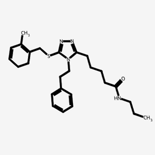 CCCNC(=O)CCCCc1nnc(SCC2=C(C)C=CCC2)n1CCc1ccccc1